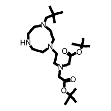 CC(C)(C)CN1CCNCCN(CCN(CC(=O)OC(C)(C)C)CC(=O)OC(C)(C)C)CC1